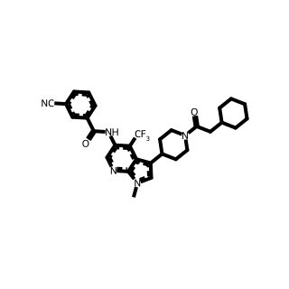 Cn1cc(C2CCN(C(=O)CC3CCCCC3)CC2)c2c(C(F)(F)F)c(NC(=O)c3cccc(C#N)c3)cnc21